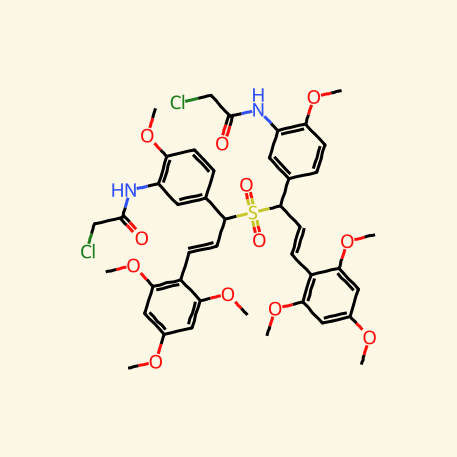 COc1cc(OC)c(C=CC(c2ccc(OC)c(NC(=O)CCl)c2)S(=O)(=O)C(C=Cc2c(OC)cc(OC)cc2OC)c2ccc(OC)c(NC(=O)CCl)c2)c(OC)c1